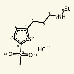 CCNCCCc1cnc(S(C)(=O)=O)s1.Cl